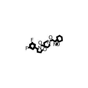 O=C(c1noc2c1CCCC2)N1CCC2(CC1)OC1CCC(c3cc(F)cc(F)c3)N1C2=O